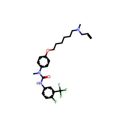 C=CCN(C)CCCCCCOc1ccc(N(C)C(=O)Nc2ccc(F)c(C(F)(F)F)c2)cc1